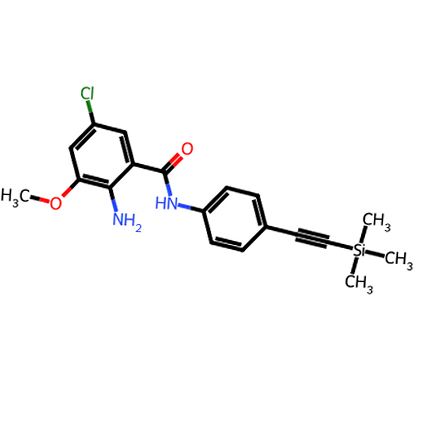 COc1cc(Cl)cc(C(=O)Nc2ccc(C#C[Si](C)(C)C)cc2)c1N